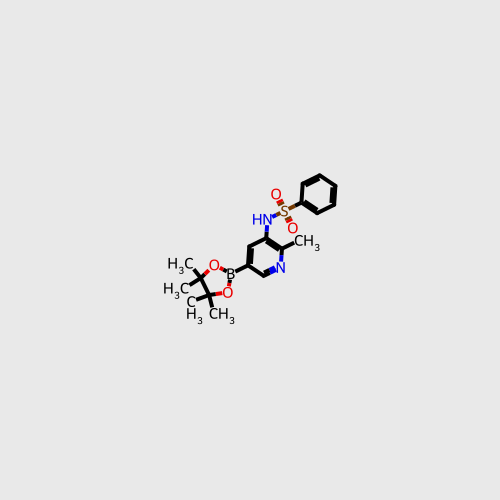 Cc1ncc(B2OC(C)(C)C(C)(C)O2)cc1NS(=O)(=O)c1ccccc1